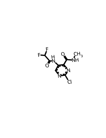 CNC(=O)c1nc(Cl)ncc1NC(=O)C(F)F